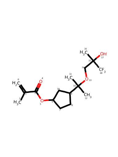 C=C(C)C(=O)OC1CCC(C(C)(C)OCC(C)(O)C(F)(F)F)C1